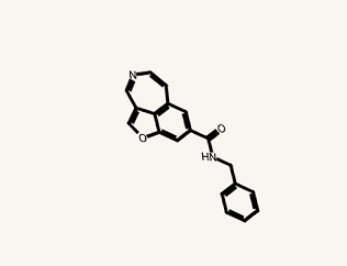 O=C(NCc1ccccc1)c1cc2c3c(coc3c1)C=NC=C2